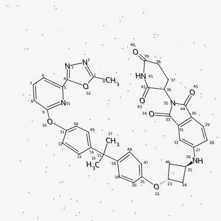 Cc1nnc(-c2cccc(Oc3ccc(C(C)(C)c4ccc(O[C@H]5C[C@H](Nc6ccc7c(c6)C(=O)N(C6CCC(=O)NC6=O)C7=O)C5)cc4)cc3)n2)o1